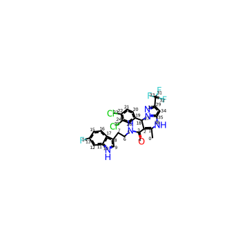 CC1=C(C(=O)NCCc2c[nH]c3cc(F)ccc23)C(c2ccc(Cl)c(Cl)c2)n2nc(C(F)(F)F)cc2N1